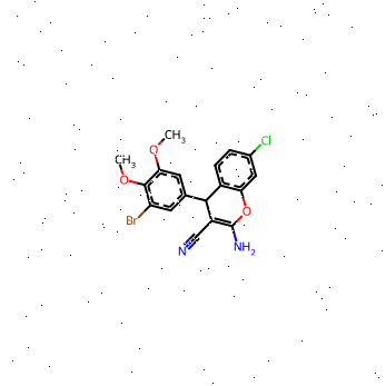 COc1cc(C2C(C#N)=C(N)Oc3cc(Cl)ccc32)cc(Br)c1OC